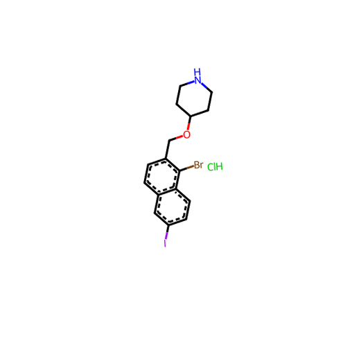 Brc1c(COC2CCNCC2)ccc2cc(I)ccc12.Cl